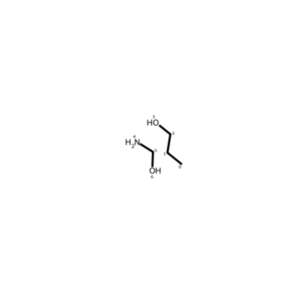 CCCO.NCO